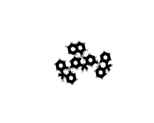 CC1(C)c2ccccc2N(c2ccc3c(c2)C(C)(C)c2cc(N4c5ccccc5C(C)(C)c5ccccc54)ccc2N3c2cccc3ccccc23)c2ccccc21